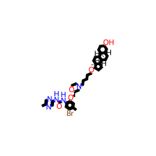 Cc1cnc(NC(=O)Nc2cc(Br)c(C)cc2OC[C@@H]2CN(CCCCCO[C@H]3CC[C@H]4[C@@H]5CC[C@H]6CC(O)CC[C@]6(C)[C@H]5CC[C@]34C)CCO2)cn1